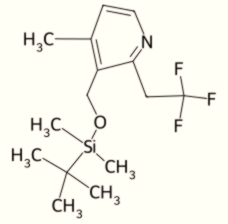 Cc1ccnc(CC(F)(F)F)c1CO[Si](C)(C)C(C)(C)C